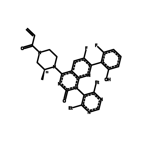 C=CC(=O)N1CCN(c2nc(=O)n(-c3c(CC)ncnc3CC)c3nc(-c4c(O)cccc4F)c(F)cc23)[C@@H](C)C1